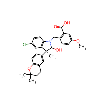 COc1ccc(CN2c3ccc(Cl)cc3[C@](C)(c3ccc4c(c3)CCC(C)(C)O4)C2O)c(C(=O)O)c1